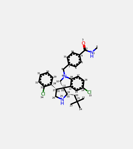 CNC(=O)c1ccc(CN2C[C@]3(c4cc(Cl)ccc42)[C@H](CC(C)(C)C)NC[C@@H]3c2ccccc2Cl)cc1